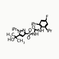 CC(C)c1cc(F)cc(C(C)C)c1NC(=O)NS(=O)(=O)c1cc(C(C)(C)O)n(C(C)C)n1